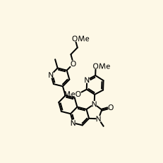 COCCOc1cc(-c2ccc3ncc4c(c3c2)n(-c2ccc(OC)nc2OC)c(=O)n4C)cnc1C